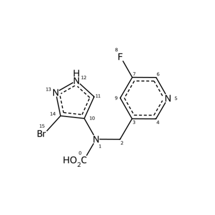 O=C(O)N(Cc1cncc(F)c1)c1c[nH]nc1Br